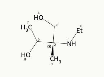 CCN[C@@](C)(CO)C(C)O